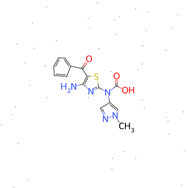 Cn1cc(N(C(=O)O)c2nc(N)c(C(=O)c3ccccc3)s2)cn1